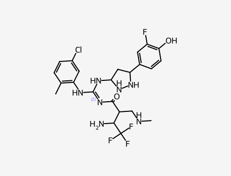 CNCC(C(=O)/N=C(/Nc1cc(Cl)ccc1C)NC1CC(c2ccc(O)c(F)c2)NN1)C(N)C(F)(F)F